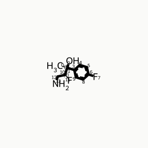 C[C@](O)(c1ccc(F)cc1)[C@H](F)CN